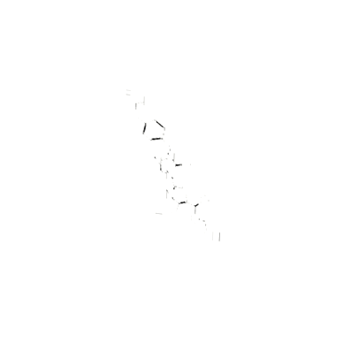 CCOC(=O)c1sc(-n2cnn(Cc3ccc(OC(F)F)cc3)c2=O)nc1C